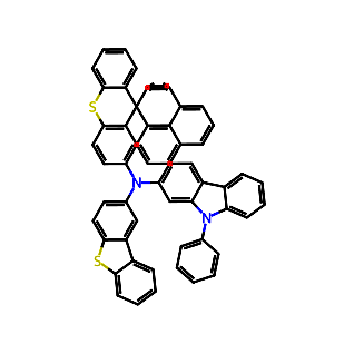 c1ccc(-n2c3ccccc3c3ccc(N(c4ccc5c(c4)C4(c6ccccc6S5)c5ccccc5-c5cccc6cccc4c56)c4ccc5sc6ccccc6c5c4)cc32)cc1